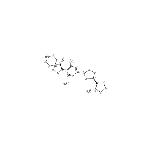 Cc1cc(N2CC[C@@H](N3CCC[C@@H]3C)C2)ccc1N1CCC2(CCNCC2)C1=O.Cl